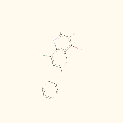 CC(=O)c1c(O)nc2c(Cl)cc(Oc3ccccc3)cc2c1O